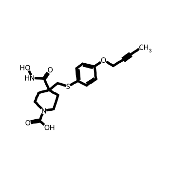 CC#CCOc1ccc(SCC2(C(=O)NO)CCN(C(=O)O)CC2)cc1